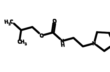 CC(C)COC(=O)NCCN1CCCC1